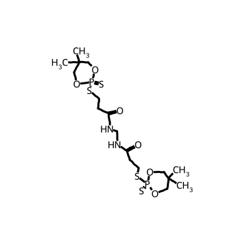 CC1(C)COP(=S)(SCCC(=O)NCNC(=O)CCSP2(=S)OCC(C)(C)CO2)OC1